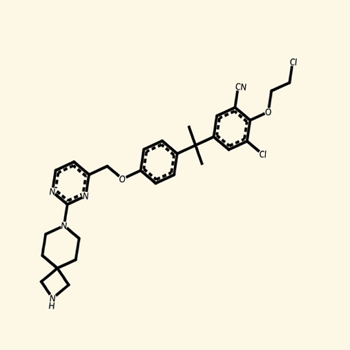 CC(C)(c1ccc(OCc2ccnc(N3CCC4(CC3)CNC4)n2)cc1)c1cc(Cl)c(OCCCl)c(C#N)c1